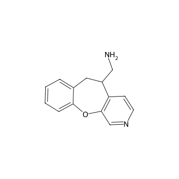 NCC1Cc2ccccc2Oc2cnccc21